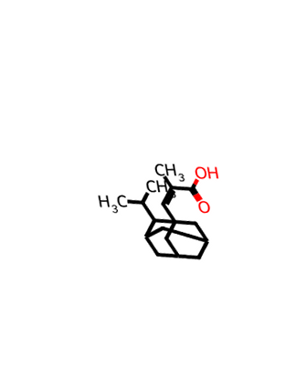 CC(=CC12CC3CC(CC(C3)C1C(C)C)C2)C(=O)O